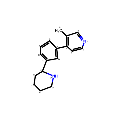 Cc1cnccc1-c1cccc(C2CCCCN2)c1